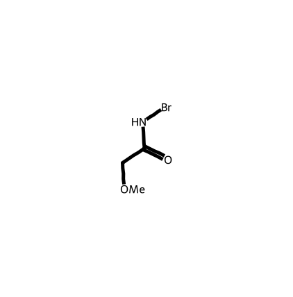 COCC(=O)NBr